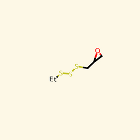 CCSSSCC1CO1